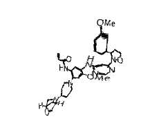 C=CC(=O)Nc1cc(Nc2cc(N3OCC[C@@H]3c3cccc(OC)c3)ncn2)c(OC)cc1N1CCC(N2C[C@@H]3C[C@H]2CO3)CC1